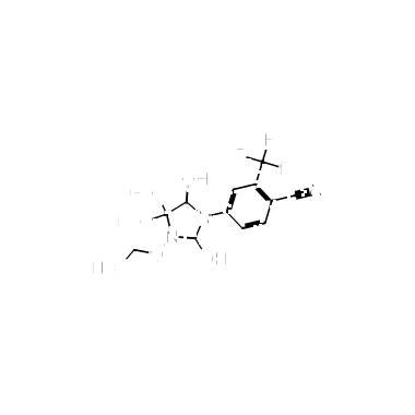 CCON1C(O)N(c2ccc(C#N)c(C(F)(F)F)c2)C(O)C1(C)C